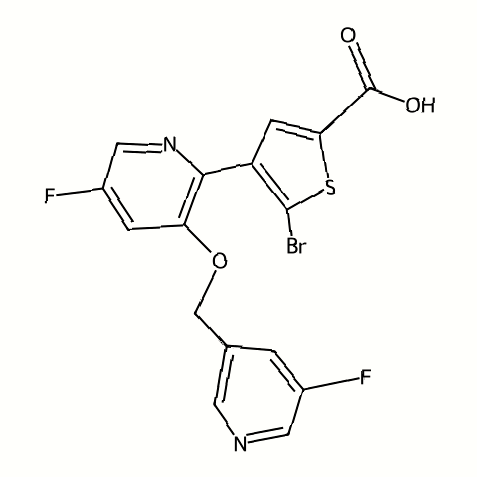 O=C(O)c1cc(-c2ncc(F)cc2OCc2cncc(F)c2)c(Br)s1